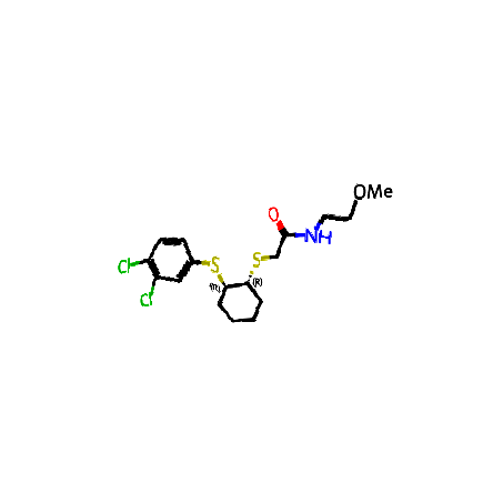 COCCNC(=O)CS[C@@H]1CCCC[C@H]1Sc1ccc(Cl)c(Cl)c1